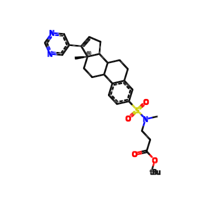 CN(CCC(=O)OC(C)(C)C)S(=O)(=O)c1ccc2c(c1)CCC1C2CC[C@]2(C)C(c3cncnc3)=CCC12